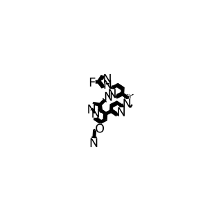 C[C@@H](c1ccc(-n2cc(F)cn2)nc1)N(C)c1ccc(-c2cc(OCC#N)cn3ncc(C#N)c23)cn1